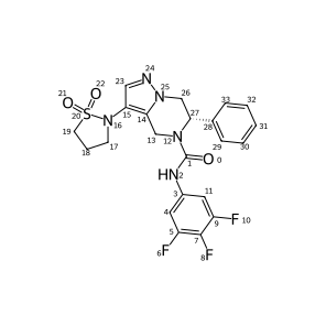 O=C(Nc1cc(F)c(F)c(F)c1)N1Cc2c(N3CCCS3(=O)=O)cnn2C[C@@H]1c1ccccc1